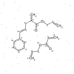 C=CCOC(=O)C(=C)CC=Cc1ccccc1.C=CCOC(=O)C=C